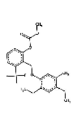 CCc1cc(CC)c(OCc2c(OC(=O)OC)cccc2C(F)(F)F)cc1C